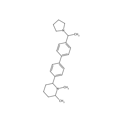 CC(c1ccc(-c2ccc(C3CCCC(C)N3C)cc2)cc1)N1CCCC1